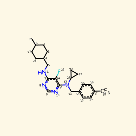 CC1CCC(CNc2ncnc(N(Cc3ccc(C(F)(F)F)cc3)C3CC3)c2F)CC1